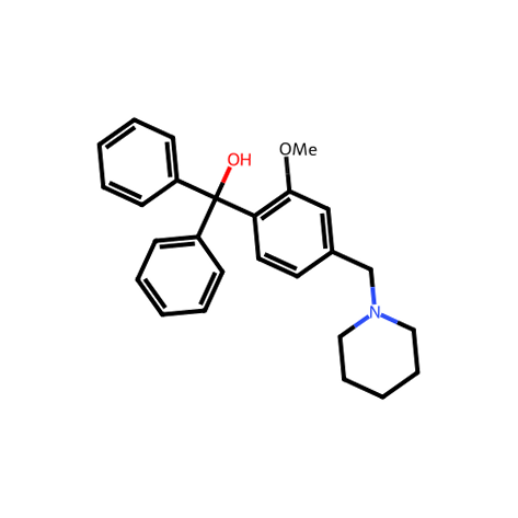 COc1cc(CN2CCCCC2)ccc1C(O)(c1ccccc1)c1ccccc1